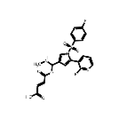 CNC(OC(=O)/C=C/C(=O)O)c1cc(-c2cccnc2F)n(S(=O)(=O)c2ccc(F)cc2)c1